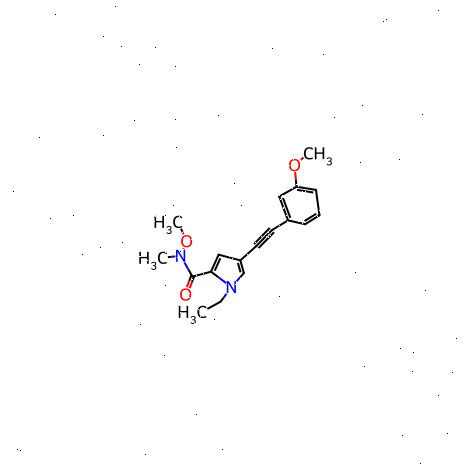 CCn1cc(C#Cc2cccc(OC)c2)cc1C(=O)N(C)OC